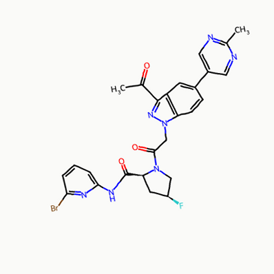 CC(=O)c1nn(CC(=O)N2C[C@@H](F)C[C@H]2C(=O)Nc2cccc(Br)n2)c2ccc(-c3cnc(C)nc3)cc12